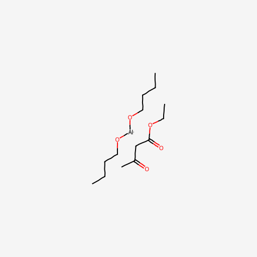 CCCC[O][Al][O]CCCC.CCOC(=O)CC(C)=O